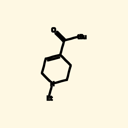 CCN1CC=C(C(=O)C(C)(C)C)CC1